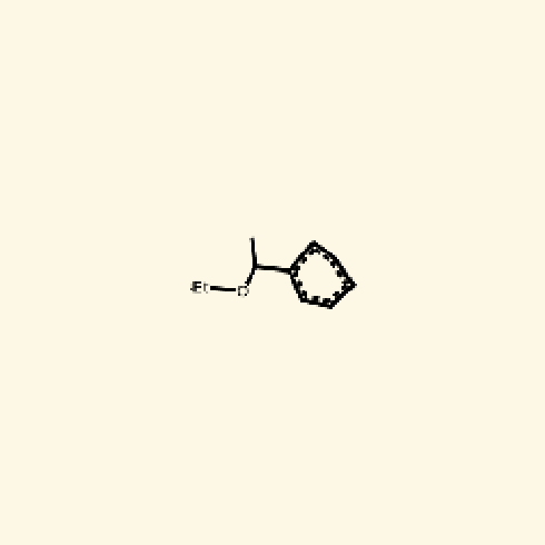 C[C]OC(C)c1ccccc1